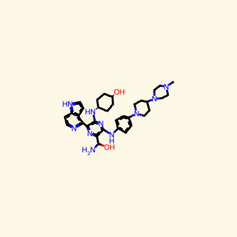 CN1CCN(C2CCN(c3ccc(Nc4nc(N[C@H]5CC[C@H](O)CC5)c(-c5nccc6[nH]ccc56)nc4C(N)O)cc3)CC2)CC1